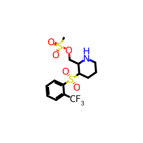 CS(=O)(=O)OCC1NCCCC1S(=O)(=O)c1ccccc1C(F)(F)F